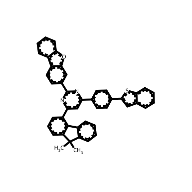 CC1(C)c2ccccc2-c2c(-c3cc(-c4ccc(-c5cc6ccccc6s5)cc4)nc(-c4ccc5c(c4)oc4ccccc45)n3)cccc21